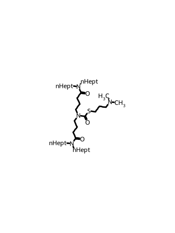 CCCCCCCN(CCCCCCC)C(=O)CCCN(CCCC(=O)N(CCCCCCC)CCCCCCC)C(=O)SCCCN(C)C